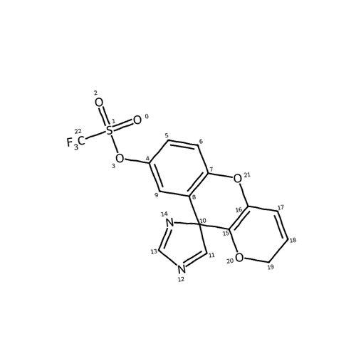 O=S(=O)(Oc1ccc2c(c1)C1(C=NC=N1)C1=C(C=CCO1)O2)C(F)(F)F